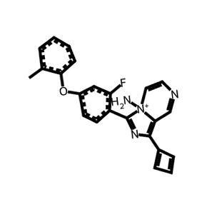 Cc1ccccc1Oc1ccc(C2=NC(C3=CC=C3)=C3C=NC=C[N+]23N)c(F)c1